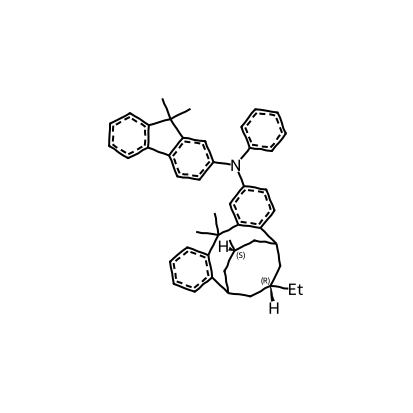 CC[C@@H]1CC2C[C@H](C)CC(C1)c1ccc(N(c3ccccc3)c3ccc4c(c3)C(C)(C)c3ccccc3-4)cc1C(C)(C)c1ccccc12